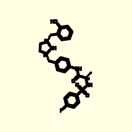 C[C@H](NS(=O)(=O)c1ccc(F)cc1)C(=O)Nc1ccc(C[C@@H]2CC[C@H](Cc3ccccc3O)N2)cc1